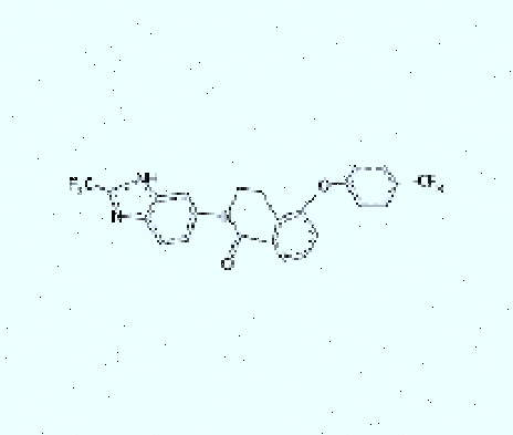 O=C1c2cccc(Oc3ccc(C(F)(F)F)cc3)c2CCN1c1ccc2nc(C(F)(F)F)[nH]c2c1